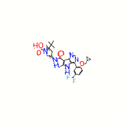 Cc1[nH]c2c(-c3cc(C(F)F)ccc3OCC3CC3)ncnc2c1C(=O)N[C@@H]1CN(C(=O)O)[C@](C)(C(C)(C)C)C1